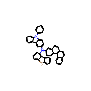 c1ccc(-n2c3ccccc3c3cc(N(c4ccc5c(ccc6ccc7ccccc7c65)c4)c4cccc5sc6ccccc6c45)ccc32)cc1